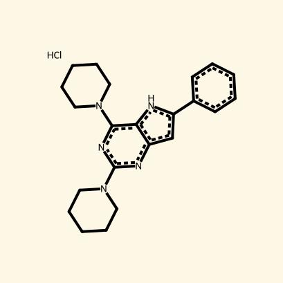 Cl.c1ccc(-c2cc3nc(N4CCCCC4)nc(N4CCCCC4)c3[nH]2)cc1